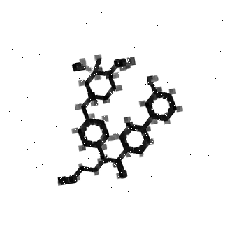 COCCN(C(=O)c1ccc(-c2cccc(F)c2)nc1)c1ccc(CN2CCN(C(=O)O)[C@@](C)(C(C)(C)C)C2)cc1